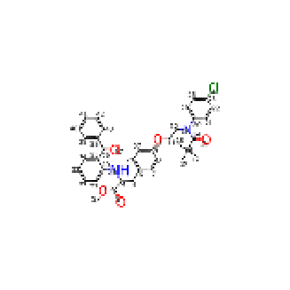 COC(=O)[C@H](Cc1ccc(OCCN(C(=O)C(C)(C)C)c2ccc(Cl)cc2)cc1)Nc1ccccc1C(=O)c1ccccc1